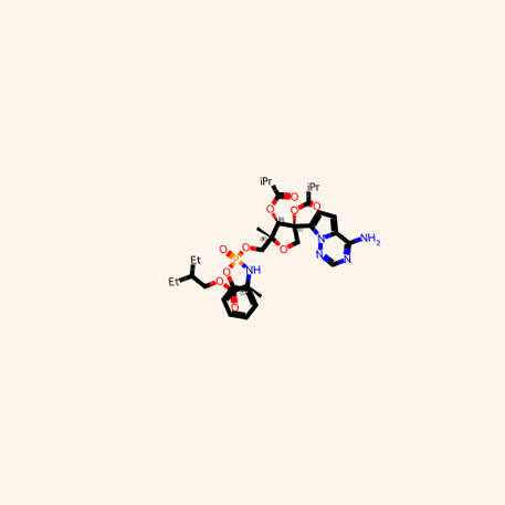 CCC(CC)COC(=O)[C@H](C)NP(=O)(OC[C@@]1(C)OC[C@@](OC(=O)C(C)C)(c2ccc3c(N)ncnn23)[C@@H]1OC(=O)C(C)C)Oc1ccccc1